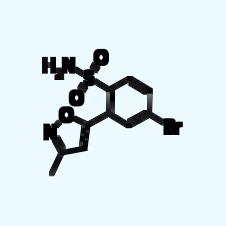 Cc1cc(-c2cc(Br)ccc2S(N)(=O)=O)on1